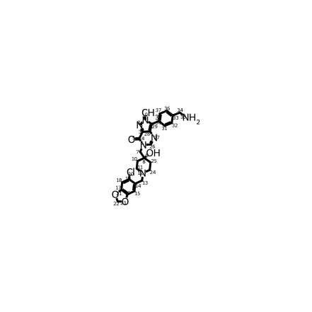 Cn1nc2c(=O)n(CC3(O)CCN(Cc4cc5c(cc4Cl)OCO5)CC3)cnc2c1-c1ccc(CN)cc1